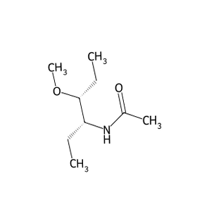 CC[C@@H](NC(C)=O)[C@@H](CC)OC